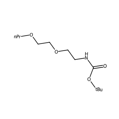 [CH2-][CH+]COCCOCCNC(=O)OC(C)(C)C